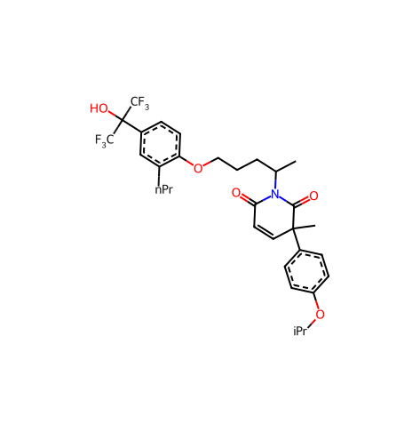 CCCc1cc(C(O)(C(F)(F)F)C(F)(F)F)ccc1OCCCC(C)N1C(=O)C=CC(C)(c2ccc(OC(C)C)cc2)C1=O